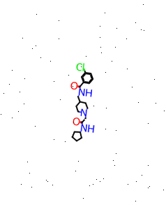 O=C(CN1CCC(CNC(=O)c2cccc(Cl)c2)CC1)NC1CCCC1